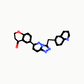 O=C1CCOc2ccc(-c3ccc4nnc(Cc5ccc6ncccc6c5)n4n3)cc21